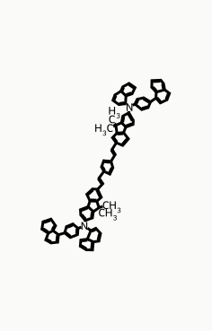 CC1(C)c2cc(/C=C/c3ccc(/C=C/c4ccc5c(c4)C(C)(C)c4cc(N(c6ccc(-c7cccc8ccccc78)cc6)c6cccc7ccccc67)ccc4-5)cc3)ccc2-c2ccc(N(c3ccc(-c4cccc5ccccc45)cc3)c3cccc4ccccc34)cc21